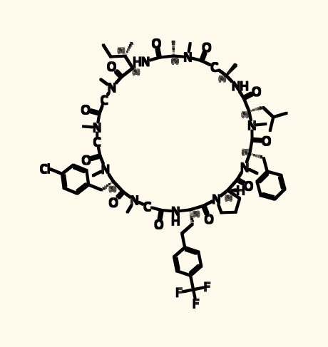 CC[C@H](C)[C@@H]1NC(=O)[C@H](C)N(C)C(=O)C[C@@H](C)NC(=O)[C@H](CC(C)C)N(C)C(=O)[C@H](Cc2ccccc2)N(C)C(=O)[C@@H]2CCCN2C(=O)[C@H](CCc2ccc(C(F)(F)F)cc2)NC(=O)CN(C)C(=O)[C@H](Cc2ccc(Cl)cc2)N(C)C(=O)CN(C)C(=O)CN(C)C1=O